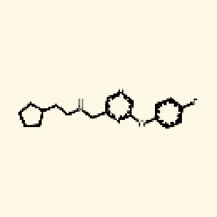 Fc1ccc(Oc2cncc(CNCCC3CCCC3)n2)cc1